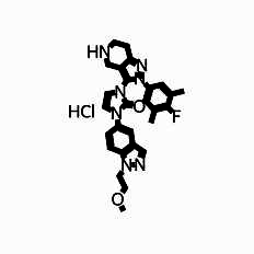 COCCn1ncc2cc(-n3ccn(-c4c5c(nn4-c4cc(C)c(F)c(C)c4)CCNC5)c3=O)ccc21.Cl